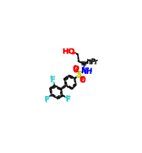 CCC[C@H](CCO)NS(=O)(=O)c1ccc(-c2c(F)cc(F)cc2F)cc1